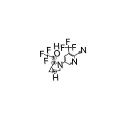 N#Cc1ncc(N2C[C@@H]3CC3[C@@H]2[C@H](O)C(F)(F)F)cc1C(F)(F)F